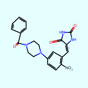 O=C1NC(=O)/C(=C\c2cc(N3CCN(C(=O)c4ccccc4)CC3)ccc2[N+](=O)[O-])N1